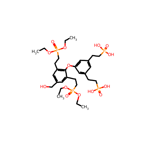 CCOP(=O)(CCc1cc(CO)cc(CCP(=O)(OCC)OCC)c1Oc1cc(CCP(=O)(O)O)cc(CCP(=O)(O)O)c1)OCC